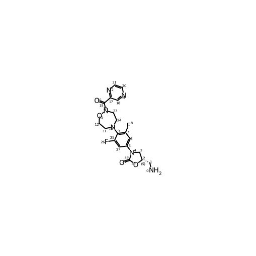 NC[C@H]1CN(c2cc(F)c(N3CCON(C(=O)c4cnccn4)CC3)c(F)c2)C(=O)O1